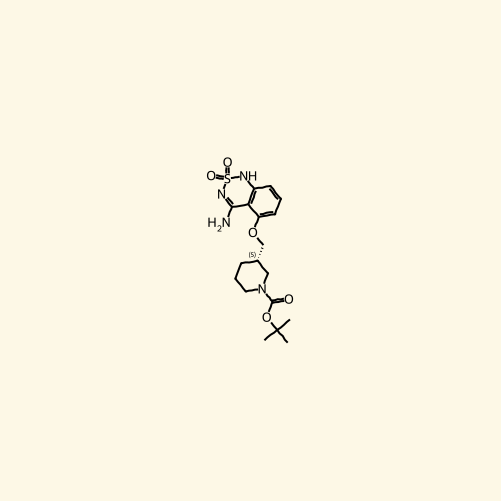 CC(C)(C)OC(=O)N1CCC[C@H](COc2cccc3c2C(N)=NS(=O)(=O)N3)C1